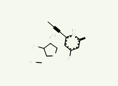 CC#Cc1[nH]c(=O)cc(F)c1[C@@H]1O[C@H](CO)C(O)[C@@H]1O